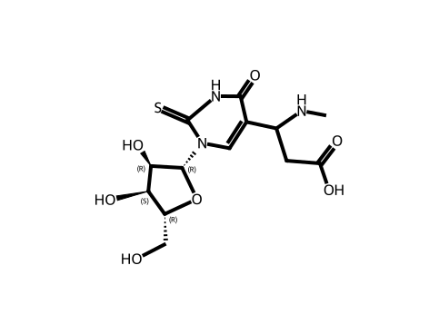 CNC(CC(=O)O)c1cn([C@@H]2O[C@H](CO)[C@@H](O)[C@H]2O)c(=S)[nH]c1=O